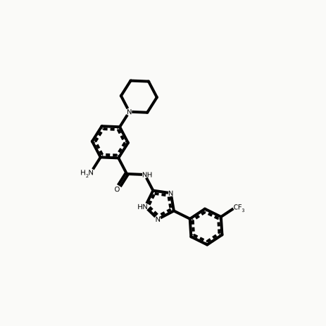 Nc1ccc(N2CCCCC2)cc1C(=O)Nc1nc(-c2cccc(C(F)(F)F)c2)n[nH]1